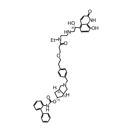 CCN(CCNC[C@H](O)c1ccc(O)c2[nH]c(=O)ccc12)C(=O)CCOCCc1ccc(CN2C[C@H]3C[C@H](OC(=O)Nc4ccccc4-c4ccccc4)C[C@H]3C2)cc1